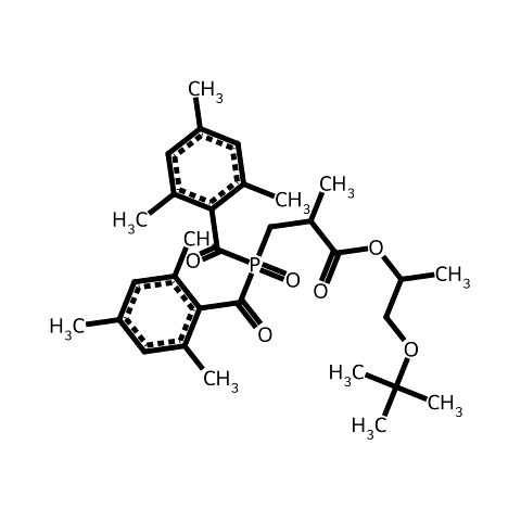 Cc1cc(C)c(C(=O)P(=O)(CC(C)C(=O)OC(C)COC(C)(C)C)C(=O)c2c(C)cc(C)cc2C)c(C)c1